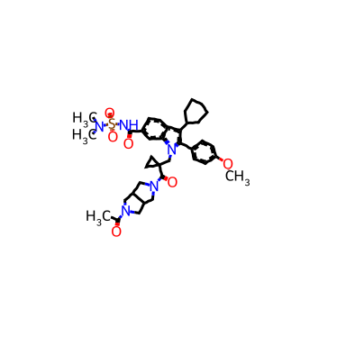 COc1ccc(-c2c(C3CCCCC3)c3ccc(C(=O)NS(=O)(=O)N(C)C)cc3n2CC2(C(=O)N3CC4CN(C(C)=O)CC4C3)CC2)cc1